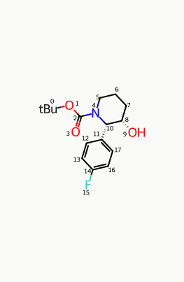 CC(C)(C)OC(=O)N1CCC[C@H](O)[C@@H]1c1ccc(F)cc1